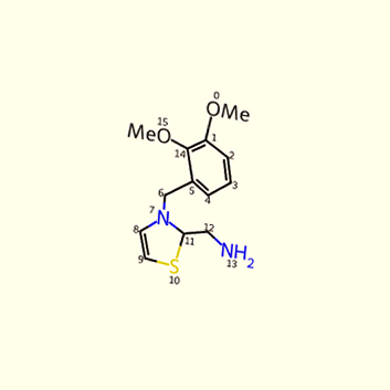 COc1cccc(CN2C=CSC2CN)c1OC